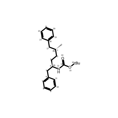 C[C@H](CC[C@H](Cc1ccccc1)NC(=O)OC(C)(C)C)Cc1ccccc1